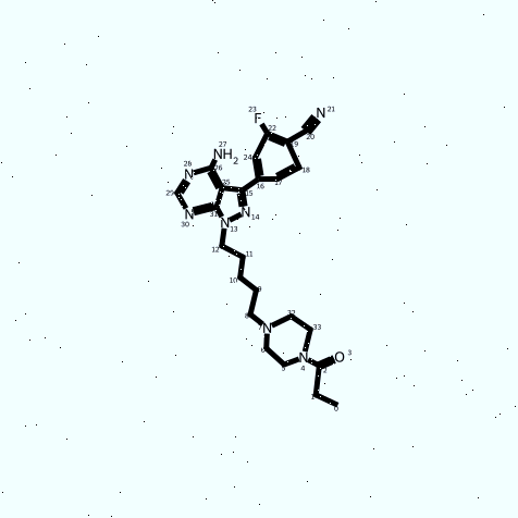 CCC(=O)N1CCN(CCCCCn2nc(-c3ccc(C#N)c(F)c3)c3c(N)ncnc32)CC1